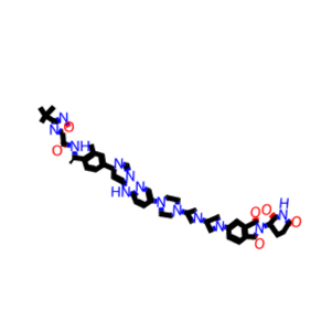 Cc1cc(-c2cc(Nc3ccc(N4CCN(C5CN(C6CN(c7ccc8c(c7)C(=O)N(C7CCC(=O)NC7=O)C8=O)C6)C5)CC4)cn3)ncn2)ccc1[C@@H](C)NC(=O)c1nc(C(C)(C)C)no1